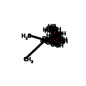 CCCCCCCCCCCCC/C=C/[C@@H](O)[C@H](CO[C@@H]1OC(CO)[C@@H](O[C@@H]2OC(CO)[C@H](O[C@@H]3OC(CO)[C@H](O)[C@H](O[C@@H]4OC(CO)[C@H](O)[C@H](O[C@@H]5OC(CO)[C@@H](O[C@@H]6OC(CO)[C@H](O)[C@H](O[C@]7(C(=O)O)CC(O)[C@@H](NC(=O)CO)C([C@H](O)[C@H](O)CO)O7)C6O)[C@H](O)C5NC(C)=O)C4O)C3NC(C)=O)[C@H](O)C2O)[C@H](O)C1O)NC(=O)CCCCCCCCCCCCCCCCCCCCCCCCC